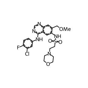 COCc1cc2ncnc(Nc3ccc(F)c(Cl)c3)c2cc1NS(=O)(=O)CCN1CCOCC1